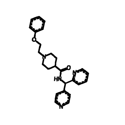 O=C(NC(c1ccncc1)c1ccccn1)C1CCN(CCOc2ccccc2)CC1